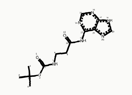 CC(C)(C)OC(=O)NCCC(=O)Nc1ncnc2[nH]cnc12